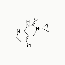 O=C1Nc2nccc(Cl)c2CN1C1CC1